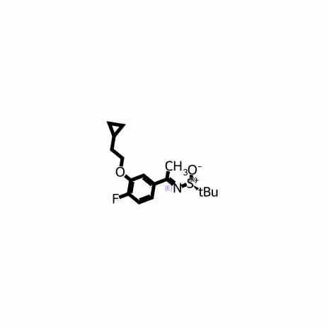 C/C(=N\[S@@+]([O-])C(C)(C)C)c1ccc(F)c(OCCC2CC2)c1